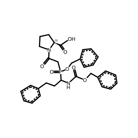 O=C(NC(CCc1ccccc1)P(=O)(CC(=O)N1CCC[C@H]1C(=O)O)OCc1ccccc1)OCc1ccccc1